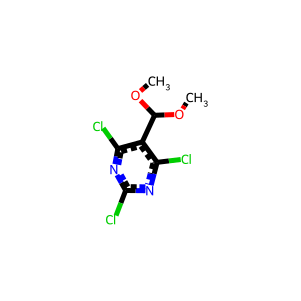 COC(OC)c1c(Cl)nc(Cl)nc1Cl